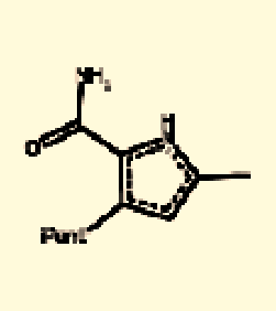 CCCC(C)c1cc(C)[nH]c1C(N)=O